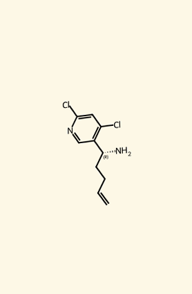 C=CCC[C@@H](N)c1cnc(Cl)cc1Cl